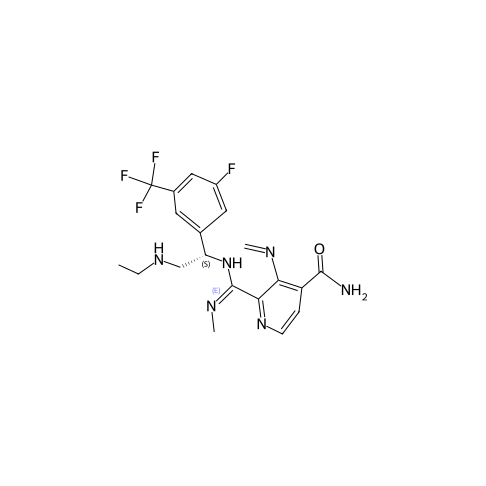 C=Nc1c(C(N)=O)ccnc1/C(=N\C)N[C@H](CNCC)c1cc(F)cc(C(F)(F)F)c1